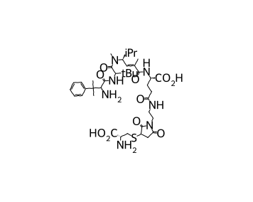 C/C(=C\[C@H](C(C)C)N(C)C(=O)C(NC(=O)[C@@H](N)C(C)(C)c1ccccc1)C(C)(C)C)C(=O)N[C@H](CCC(=O)NCCN1C(=O)CC(SC[C@H](N)C(=O)O)C1=O)C(=O)O